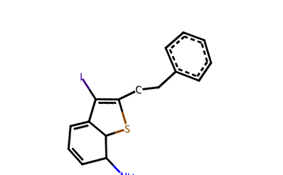 NC1C=CC=C2C(I)=C(CCc3ccccc3)SC21